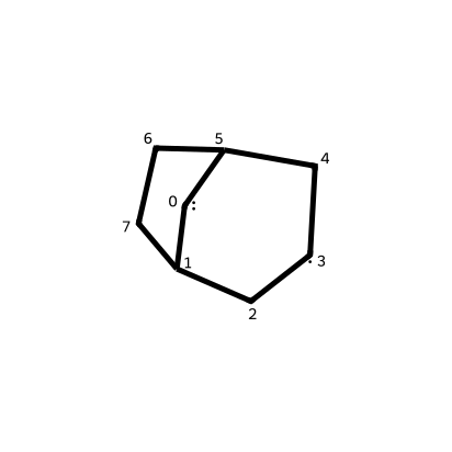 [C]1C2C[CH]CC1CC2